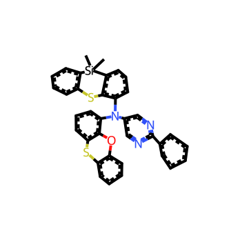 C[Si]1(C)c2ccccc2Sc2c(N(c3cnc(-c4ccccc4)nc3)c3cccc4c3Oc3ccccc3S4)cccc21